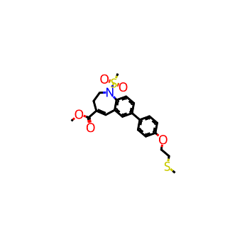 COC(=O)C1=Cc2cc(-c3ccc(OCCSC)cc3)ccc2N(S(C)(=O)=O)CC1